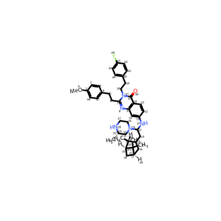 COc1ccc(CCc2nc3cc(NC(CC4C[C@H]5C[C@@H]([C@@H]4C)C5(C)C)N4CCN[C@@H](C)C4)ccc3c(=O)n2CCc2ccc(F)cc2)cc1